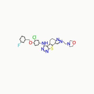 Fc1cccc(COc2ccc(Nc3ncnc4sc5c(c34)CCc3nn(CCN4CCOCC4)cc3-5)cc2Cl)c1